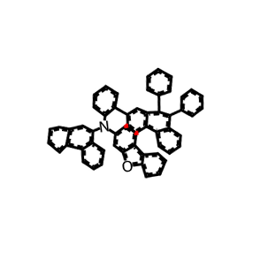 c1ccc(-c2c(-c3ccccc3)c3cc(-c4ccccc4N(c4ccc5c(c4)oc4ccccc45)c4cc5ccccc5c5ccccc45)ccc3c3ccccc23)cc1